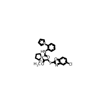 C[C@@H]1CCC[N+]1(C(=O)CSc1nc2cc(Cl)ccc2o1)C(=O)Nc1ccccc1-n1cccc1